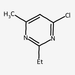 CCc1nc(C)cc(Cl)n1